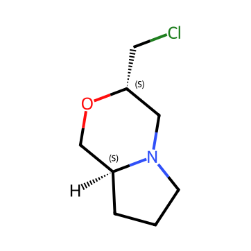 ClC[C@@H]1CN2CCC[C@H]2CO1